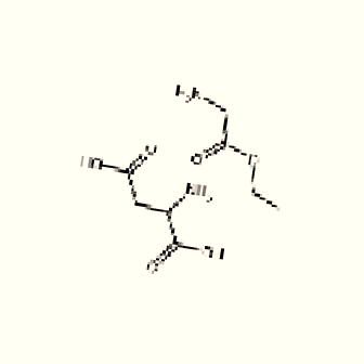 CCOC(=O)CN.NC(CC(=O)O)C(=O)O